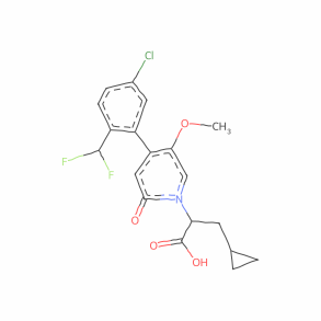 COc1cn(C(CC2CC2)C(=O)O)c(=O)cc1-c1cc(Cl)ccc1C(F)F